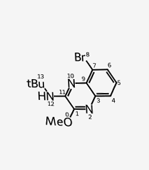 COc1nc2cccc(Br)c2nc1NC(C)(C)C